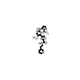 Cc1cnc(Nc2ccnn2C)nc1-c1coc(C(=O)NCCc2cccnc2)n1